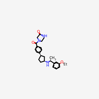 CCOc1cccc([C@@H](C)N[C@H]2CC[C@@H](c3ccc(C(=O)N4CCNC(=O)C4)cc3)C2)c1